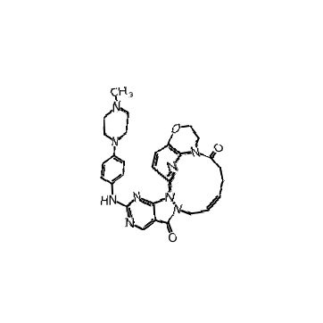 CN1CCN(c2ccc(Nc3ncc4c(=O)n5n(c4n3)-c3ccc4c(n3)N(CCO4)C(=O)CC/C=C\C5)cc2)CC1